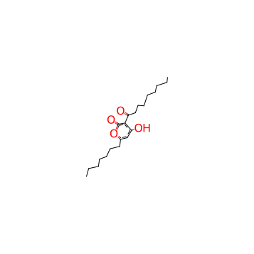 CCCCCCCCC(=O)c1c(O)cc(CCCCCCC)oc1=O